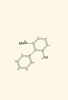 CNc1ccc[c]([Pd])c1-c1ccccc1